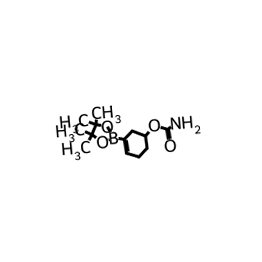 CC1(C)OB(C2=CCCC(OC(N)=O)C2)OC1(C)C